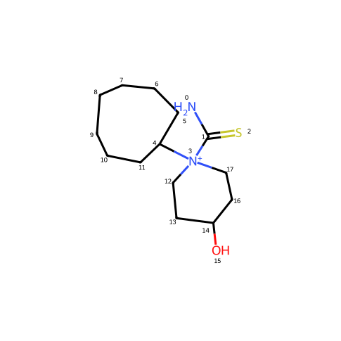 NC(=S)[N+]1(C2CCCCCCC2)CCC(O)CC1